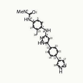 CNC(=O)Nc1ccc(Nc2cc(-c3ccc(-c4cn[nH]c4)cc3)[nH]n2)c(C)c1